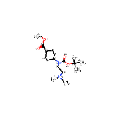 COC(=O)C1CCC(N(CCN(C)C)C(=O)OC(C)(C)C)CC1